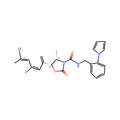 C=C(/C=C(F)\C=C(/C)C(F)(F)F)[C@H]1OC(=O)N(C(=O)NCc2ccccc2-n2cccc2)[C@H]1C